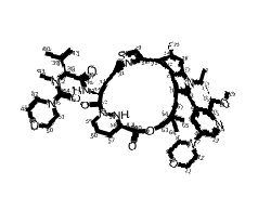 CCn1c(-c2cc(N3CCOCC3)cnc2[C@H](C)OC)c2c3cc(c(F)cc31)-c1csc(n1)C[C@H](NC(=O)[C@H](C(C)C)N(C)C(=O)N1CCOCC1)C(=O)N1CCC[C@H](N1)C(=O)OCC(C)(C)C2